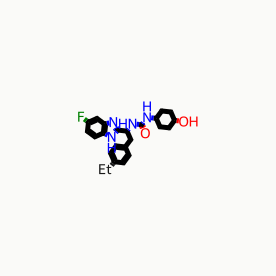 CCc1ccc(CC(NC(=O)NC2CCC(O)CC2)c2nc3cc(F)ccc3[nH]2)cc1